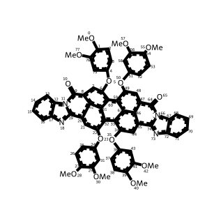 COc1ccc(Oc2cc3c(=O)n4c5ccccc5nc4c4cc(Oc5ccc(OC)c(OC)c5)c5c6c(Oc7ccc(OC)c(OC)c7)cc7c8c(cc(Oc9ccc(OC)c(OC)c9)c(c2c5c34)c68)c(=O)n2c3ccccc3nc72)cc1OC